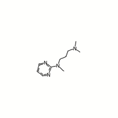 CN(C)CCCN(C)c1ncccn1